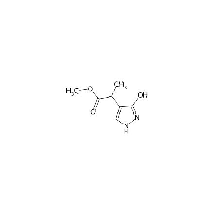 COC(=O)C(C)c1c[nH]nc1O